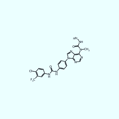 CCCNC(=O)N(C)c1ncnc2c1ncn2-c1ccc(NC(=O)Nc2ccc(Cl)c(C(F)(F)F)c2)cc1